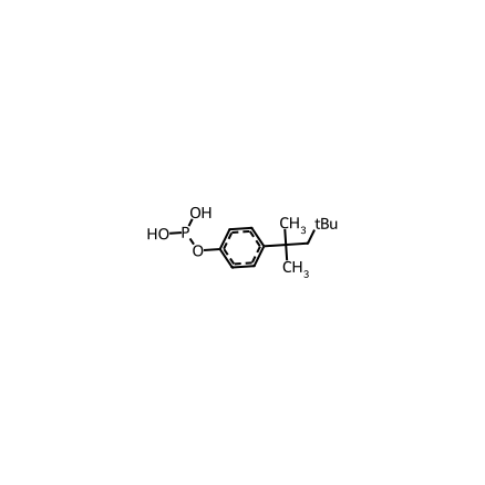 CC(C)(C)CC(C)(C)c1ccc(OP(O)O)cc1